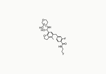 Cc1c(Cc2ccc(C(=O)NCCF)c(F)c2)cc(C(O)N[C@H]2CCOC[C@@H]2O)c2c1CCO2